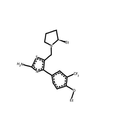 CCOc1ccc(-c2nc(N)sc2CN2CCC[C@H]2CC)cc1C(F)(F)F